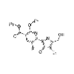 CCn1c(CO)nn(-c2nc(OC(C)C)c(C(=O)OC(C)C)cc2F)c1=O